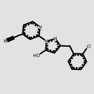 N#Cc1ccnc(-n2nc(Cc3ccccc3Cl)cc2O)c1